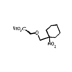 CCOC(=O)COCC1([N+](=O)[O-])CCCCC1